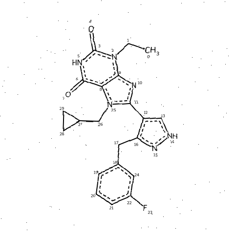 CCn1c(=O)[nH]c(=O)c2c1nc(-c1c[nH]nc1Cc1cccc(F)c1)n2CC1CC1